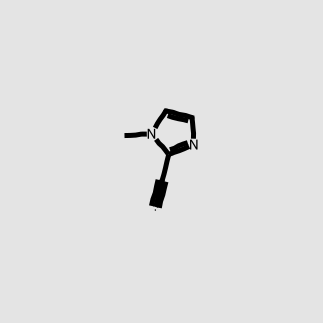 [C]#Cc1nccn1C